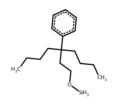 CCCCC(CCCC)(CCO[SiH3])c1ccccc1